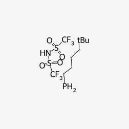 CC(C)(C)CCCCP.O=S(=O)(NS(=O)(=O)C(F)(F)F)C(F)(F)F